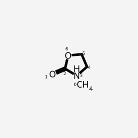 C.O=C1NCCO1